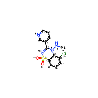 CCNN1C(c2cccnc2)=NS(=O)(=O)c2cccc(Cl)c21